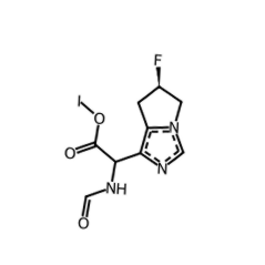 O=CNC(C(=O)OI)c1ncn2c1C[C@@H](F)C2